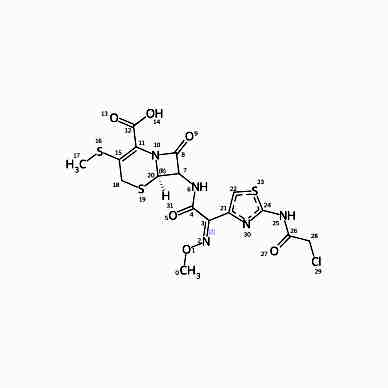 CO/N=C(\C(=O)NC1C(=O)N2C(C(=O)O)=C(SC)CS[C@H]12)c1csc(NC(=O)CCl)n1